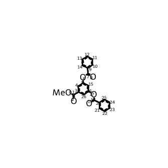 COC(=O)c1cc(OC(=O)c2ccccc2)cc(OC(=O)c2ccccc2)c1